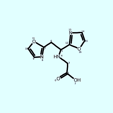 O=C(O)CNC(Cc1ncco1)c1ncco1